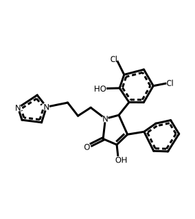 O=C1C(O)=C(c2ccccc2)C(c2cc(Cl)cc(Cl)c2O)N1CCCn1ccnc1